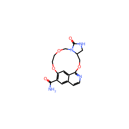 NC(=O)c1cc2ccnc3c2cc1OCCOCN1C(=O)NCC1CO3